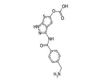 NCc1ccc(C(=O)Nc2n[nH]c3sc(OC(=O)O)cc23)cc1